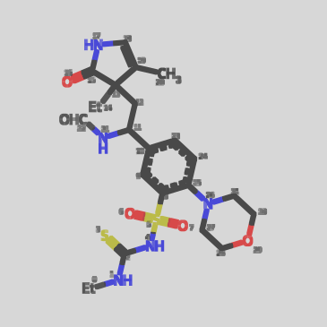 CCNC(=S)NS(=O)(=O)c1cc(C(CC2(CC)C(=O)NC=C2C)NC=O)ccc1N1CCOCC1